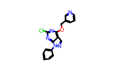 Clc1nc(OCc2cccnc2)c2cnn(-c3ccccc3)c2n1